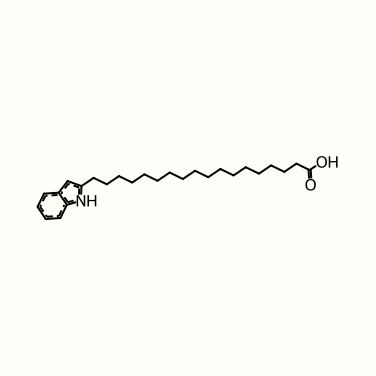 O=C(O)CCCCCCCCCCCCCCCCCc1cc2ccccc2[nH]1